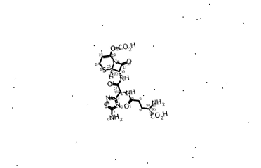 Nc1nc([C@H](NC(=O)CC[C@@H](N)C(=O)O)C(=O)N[C@@H]2C(=O)N3C(OC(=O)O)=CCS[C@@H]23)ns1